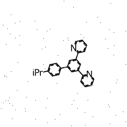 CC(C)c1ccc(-c2cc(-c3ccccn3)cc(-c3ccccn3)c2)cc1